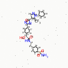 NS(=O)(=O)c1ccc(CCNC(=O)[C@H](O)c2ccc(-c3noc(-c4cnn(-c5ccccc5)c4C(F)(F)F)n3)cc2)cc1